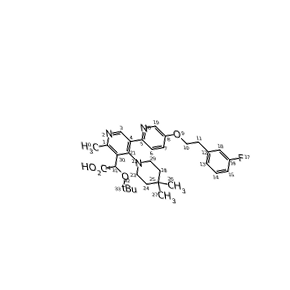 Cc1ncc(-c2ccc(OCCc3cccc(F)c3)cn2)c(N2CCC(C)(C)CC2)c1C(OC(C)(C)C)C(=O)O